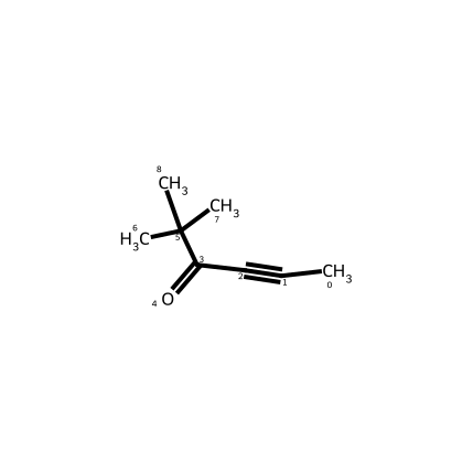 CC#CC(=O)C(C)(C)C